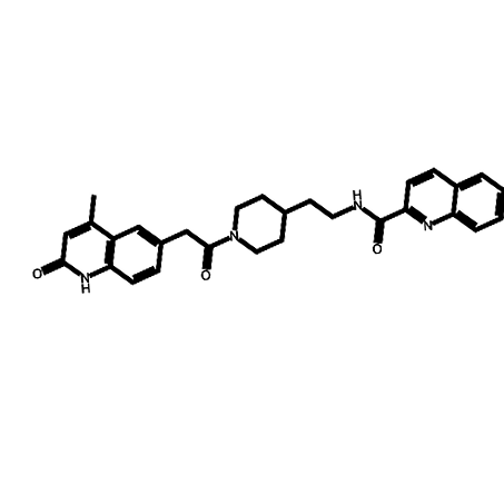 Cc1cc(=O)[nH]c2ccc(CC(=O)N3CCC(CCNC(=O)c4ccc5ccccc5n4)CC3)cc12